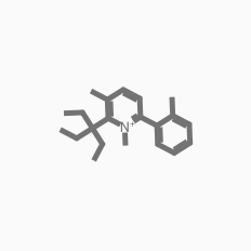 CCC(CC)(CC)c1c(C)ccc(-c2ccccc2C)[n+]1C